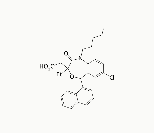 CCC1(CC(=O)O)OC(c2cccc3ccccc23)c2cc(Cl)ccc2N(CCCCI)C1=O